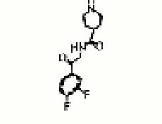 O=C(CNC(=O)C1CCNCC1)c1ccc(F)c(F)c1